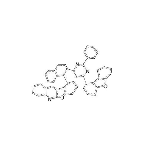 c1ccc(-c2nc(-c3ccc4ccccc4c3-c3cccc4oc5nc6ccccc6cc5c34)nc(-c3cccc4oc5ccccc5c34)n2)cc1